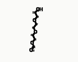 O=COCCOCCOCCO